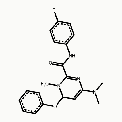 CN(C)C1=CC(Oc2ccccc2)N(C(F)(F)F)C(C(=O)Nc2ccc(F)cc2)=N1